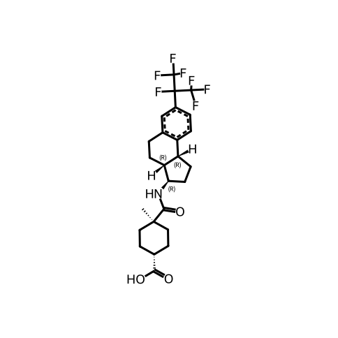 C[C@]1(C(=O)N[C@@H]2CC[C@H]3c4ccc(C(F)(C(F)(F)F)C(F)(F)F)cc4CC[C@@H]23)CC[C@H](C(=O)O)CC1